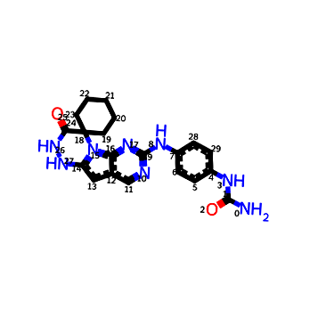 NC(=O)Nc1ccc(Nc2ncc3cc4n(c3n2)C2(CCCCC2)C(=O)NN4)cc1